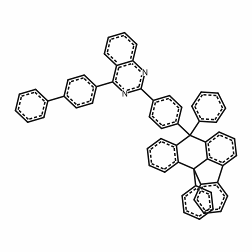 c1ccc(-c2ccc(-c3nc(-c4ccc(C5(c6ccccc6)c6ccccc6C6(c7ccccc7)c7ccccc7-c7cccc5c76)cc4)nc4ccccc34)cc2)cc1